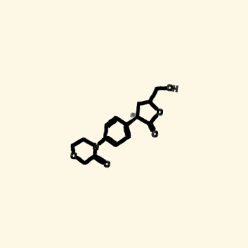 O=C1OC(CO)C[C@@H]1c1ccc(N2CCOCC2=O)cc1